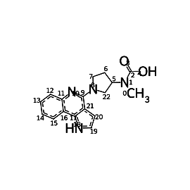 CN(C(=O)O)C1CCN(c2nc3ccccc3c3[nH]ccc23)C1